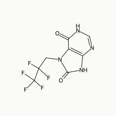 O=c1[nH]cnc2[nH]c(=O)n(CC(F)(F)C(F)(F)F)c12